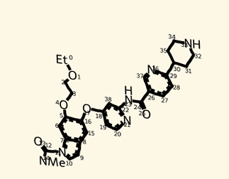 CCOCCOc1cc2c(ccn2C(=O)NC)cc1Oc1ccnc(NC(=O)c2ccc(C3CCNCC3)nc2)c1